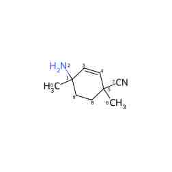 CC1(N)C=CC(C)(C#N)CC1